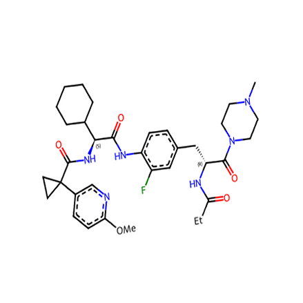 CCC(=O)N[C@H](Cc1ccc(NC(=O)[C@@H](NC(=O)C2(c3ccc(OC)nc3)CC2)C2CCCCC2)c(F)c1)C(=O)N1CCN(C)CC1